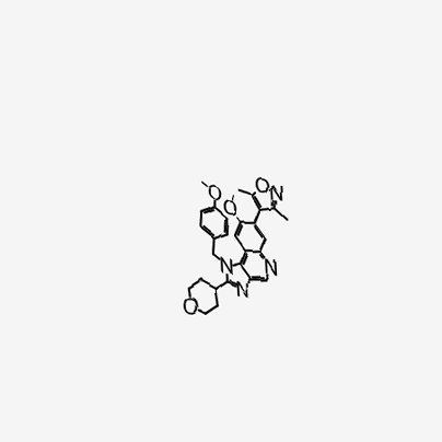 COc1ccc(Cn2c(C3CCOCC3)nc3cnc4cc(-c5c(C)noc5C)c(OC)cc4c32)cc1